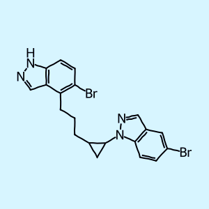 Brc1ccc2c(cnn2C2CC2CCCc2c(Br)ccc3[nH]ncc23)c1